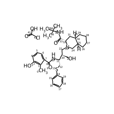 Cc1c(O)cccc1C(=O)N[C@@H](CSc1ccccc1)[C@H](O)CN1C[C@H]2CCCC[C@H]2C[C@H]1C(=O)NC(C)(C)C.O=C(O)Cl